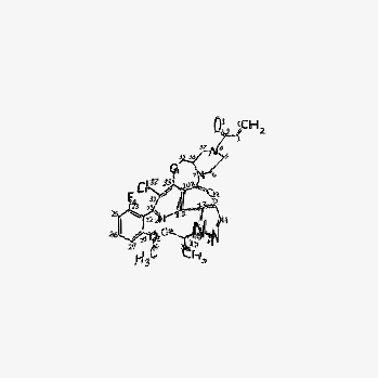 C=CC(=O)N1CCN2C(=O)c3c(-c4ccnn4C(C)C)nc(-c4c(F)cccc4OC)c(Cl)c3OCC2C1